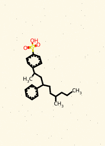 CCCC(C)CCC(CC(C)c1ccc(S(=O)(=O)O)cc1)c1ccccc1